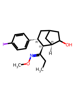 CCC(=NOC)[C@H]1[C@H](c2ccc(I)cc2)CC2CC(O)[C@@H]1C2